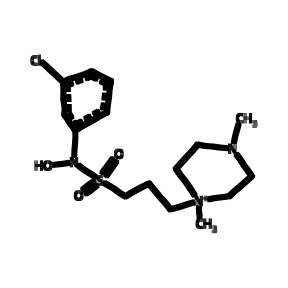 CN1CC[N+](C)(CCCS(=O)(=O)N(O)c2cccc(Cl)c2)CC1